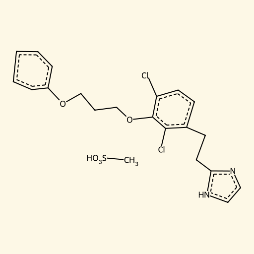 CS(=O)(=O)O.Clc1ccc(CCc2ncc[nH]2)c(Cl)c1OCCCOc1ccccc1